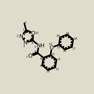 Cc1nnc(NC(=O)c2ccccc2Oc2ccccc2)o1